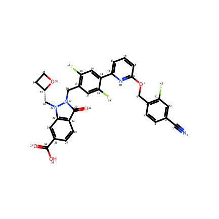 N#Cc1ccc(COc2cccc(-c3cc(F)c(Cn4c(=O)c5ccc(C(=O)O)cc5n4C[C@@H]4CCO4)cc3F)n2)c(F)c1